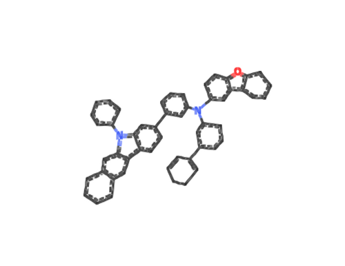 C1=CC(c2cccc(N(c3cccc(-c4ccc5c6cc7ccccc7cc6n(-c6ccccc6)c5c4)c3)c3ccc4oc5ccccc5c4c3)c2)=CCC1